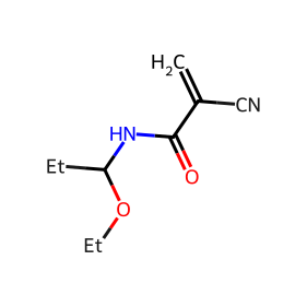 C=C(C#N)C(=O)NC(CC)OCC